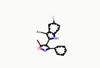 CC(=O)c1c(-c2c(-c3ccccc3)noc2C)[nH]c2ccc(F)cc12